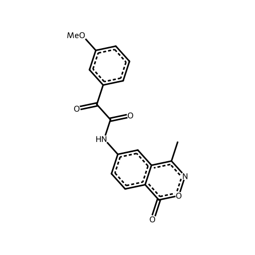 COc1cccc(C(=O)C(=O)Nc2ccc3c(=O)onc(C)c3c2)c1